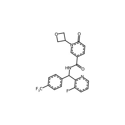 O=C(NC(c1ccc(C(F)(F)F)cc1)c1ncccc1F)c1ccc(=O)n(C2COC2)c1